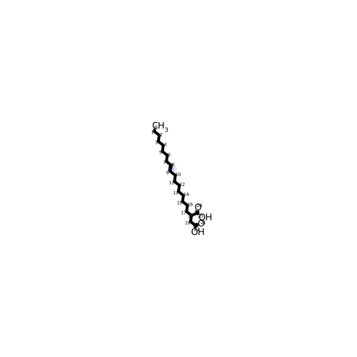 CCCCCCCC/C=C/CCCCCCCCC(CC(=O)O)C(=O)O